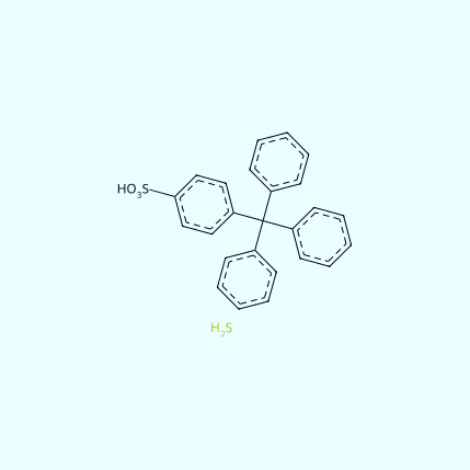 O=S(=O)(O)c1ccc(C(c2ccccc2)(c2ccccc2)c2ccccc2)cc1.S